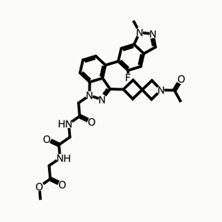 COC(=O)CNC(=O)CNC(=O)Cn1nc(C2CC3(C2)CN(C(C)=O)C3)c2c(-c3cc4c(cnn4C)cc3F)cccc21